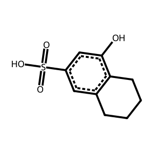 O=S(=O)(O)c1cc(O)c2c(c1)CCCC2